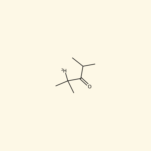 [2H]C(C)(C)C(=O)C(C)C